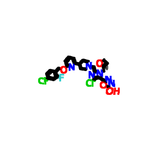 Oc1nnc(-c2c(Cl)nc(CN3CCC(c4cccc(OCc5ccc(Cl)cc5F)n4)CC3)n2C[C@@H]2CCO2)o1